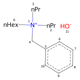 CCCCCC[N+](CCC)(CCC)Cc1ccccc1.[OH-]